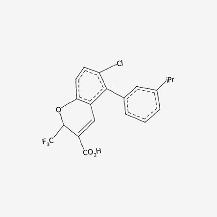 CC(C)c1cccc(-c2c(Cl)ccc3c2C=C(C(=O)O)C(C(F)(F)F)O3)c1